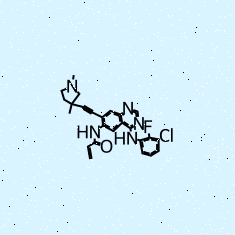 C=CC(=O)Nc1cc2c(Nc3cccc(Cl)c3F)ncnc2cc1C#CC1(C)CCN(C)C1